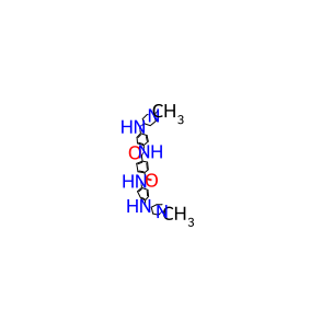 CN1CCC(Nc2ccc(NC(=O)c3ccc(C(=O)Nc4ccc(NC5CCN(C)CC5)cc4)cc3)cc2)CC1